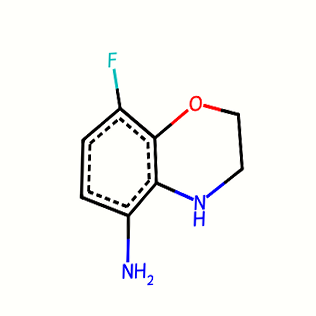 Nc1ccc(F)c2c1NCCO2